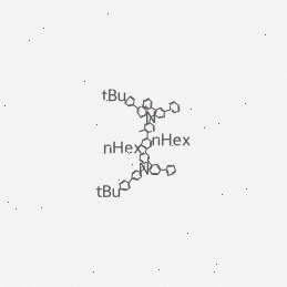 CCCCCCc1cc(-c2ccc(N(c3ccc(-c4ccc(C(C)(C)C)cc4)cc3)c3ccc(-c4ccccc4)cc3-c3ccccc3)cc2C)c(CCCCCC)cc1-c1ccc2c(c1)c1cc(-c3ccccc3)ccc1n2-c1ccc(-c2ccc(C(C)(C)C)cc2)cc1